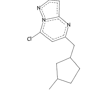 CC1CCC(Cc2cc(Cl)n3nccc3n2)C1